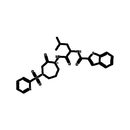 CC(C)CC(NC(=O)c1cc2ccccc2s1)C(=O)N[C@H]1CCCN(S(=O)(=O)c2ccccn2)CC1=O